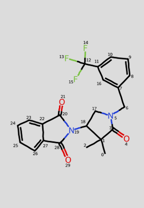 CC1(C)C(=O)N(Cc2cccc(C(F)(F)F)c2)CC1N1C(=O)c2ccccc2C1=O